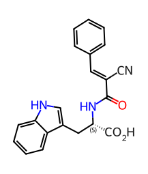 N#CC(=Cc1ccccc1)C(=O)N[C@@H](Cc1c[nH]c2ccccc12)C(=O)O